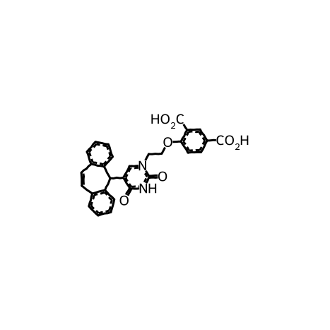 O=C(O)c1ccc(OCCn2cc(C3c4ccccc4C=Cc4ccccc43)c(=O)[nH]c2=O)c(C(=O)O)c1